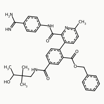 Cc1ccc(-c2ccc(C(=O)NCC(C)(C)C(C)O)cc2C(=O)OCc2ccccc2)c(C(=O)Nc2ccc(C(=N)N)cc2)n1